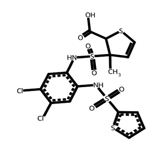 CC1(S(=O)(=O)Nc2cc(Cl)c(Cl)cc2NS(=O)(=O)c2cccs2)C=CSC1C(=O)O